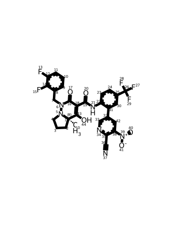 C[C@]12CCCN1N(Cc1cccc(F)c1F)C(=O)C(C(=O)Nc1ccc(C(F)(F)F)cc1-c1cnc(C#N)c([N+](=O)[O-])c1)=C2O